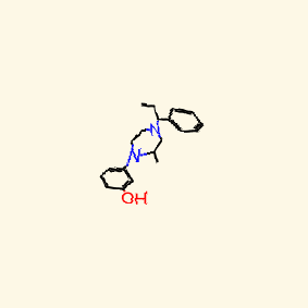 CCC(c1ccccc1)N1CCN(c2cccc(O)c2)C(C)C1